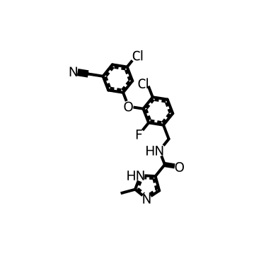 Cc1ncc(C(=O)NCc2ccc(Cl)c(Oc3cc(Cl)cc(C#N)c3)c2F)[nH]1